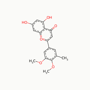 COc1cc(-c2cc(=O)c3c(O)cc(O)cc3o2)cc(C)c1OC